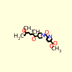 C=C/C(=C\C=C(/C)C(=O)C1CCN(C(=O)c2ccc(C(=O)OC)cn2)CC1)OC